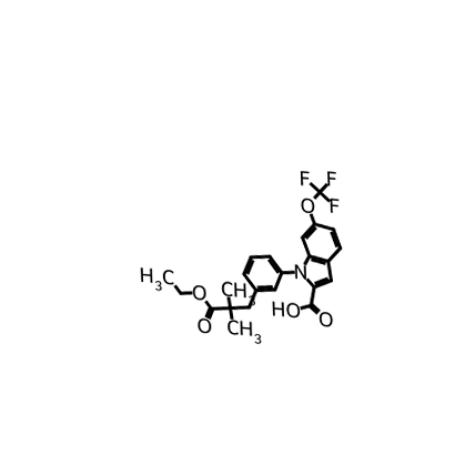 CCOC(=O)C(C)(C)Cc1cccc(-n2c(C(=O)O)cc3ccc(OC(F)(F)F)cc32)c1